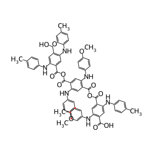 COc1ccc(Nc2cc(C(=O)OC(=O)c3cc(Nc4ccc(C)cc4)c(C(=O)O)cc3Nc3ccc(C)cc3)c(Nc3ccc(OC)cc3)cc2C(=O)OC(=O)c2cc(Nc3ccc(C)cc3)c(C(=O)O)cc2Nc2ccc(C)cc2)cc1